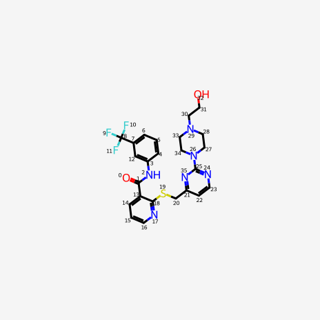 O=C(Nc1cccc(C(F)(F)F)c1)c1cccnc1SCc1ccnc(N2CCN(CCO)CC2)n1